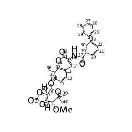 CO[C@@H]1[C@@H]2OC(=O)O[C@@H]2[C@H](Oc2ccc3cc(NC(=O)c4cccc(-c5ccccc5)c4)c(=O)oc3c2C)OC1(C)C